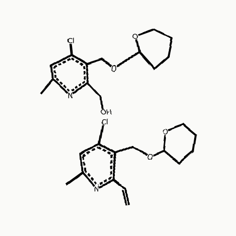 C=Cc1nc(C)cc(Cl)c1COC1CCCCO1.Cc1cc(Cl)c(COC2CCCCO2)c(CO)n1